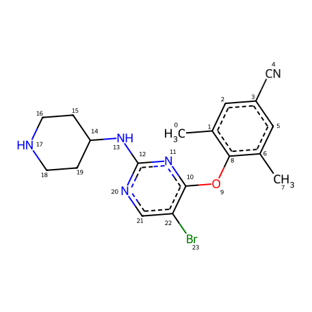 Cc1cc(C#N)cc(C)c1Oc1nc(NC2CCNCC2)ncc1Br